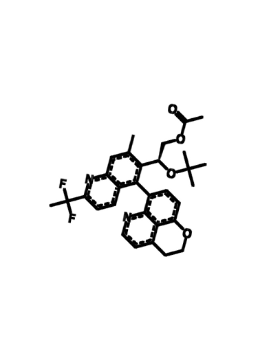 CC(=O)OC[C@@H](OC(C)(C)C)c1c(C)cc2nc(C(C)(F)F)ccc2c1-c1ccc2c3c(ccnc13)CCO2